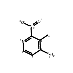 Cc1c(N)ccnc1[N+](=O)[O-]